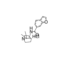 CC1(C)C(NC(=O)c2ccc3ccoc3c2)C2CCN1CC2.Cl